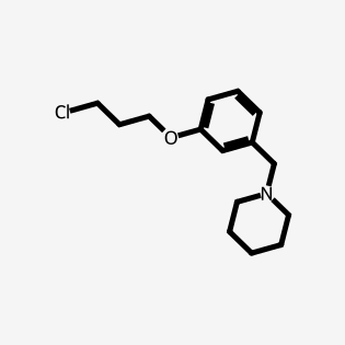 ClCCCOc1cccc(CN2CCCCC2)c1